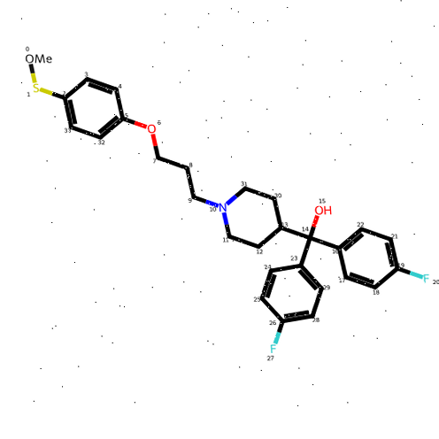 COSc1ccc(OCCCN2CCC(C(O)(c3ccc(F)cc3)c3ccc(F)cc3)CC2)cc1